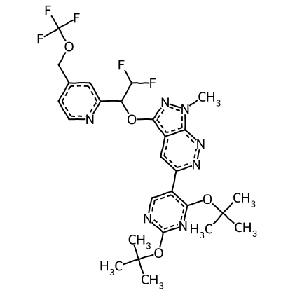 Cn1nc(OC(c2cc(COC(F)(F)F)ccn2)C(F)F)c2cc(-c3cnc(OC(C)(C)C)nc3OC(C)(C)C)nnc21